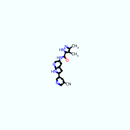 Cc1n[nH]c(C(=O)Nc2cnc3[nH]c(-c4cncc(C#N)c4)cc3c2)c1C